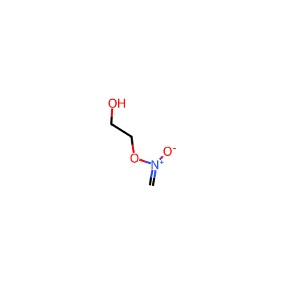 C=[N+]([O-])OCCO